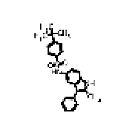 Cc1[nH]c2ccc(NS(=O)(=O)c3ccc(C(C)(C)C)cc3)cc2c1-c1ccccc1